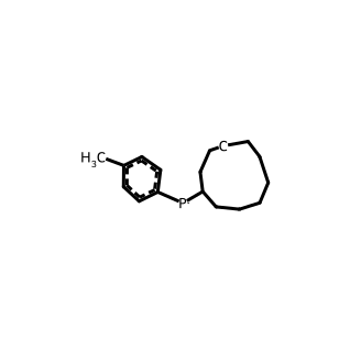 Cc1ccc([P]C2CCCCCCCCC2)cc1